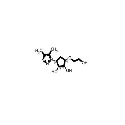 Cc1nnn([C@@H]2C[C@H](OCCO)[C@@H](O)[C@H]2O)c1C